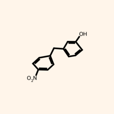 O=[N+]([O-])c1ccc(Cc2cccc(O)c2)cc1